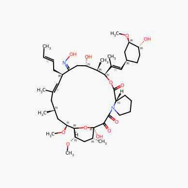 C/C=C/C[C@@H]1/C=C(\C)C[C@H](C)C[C@H](OC)[C@H]2O[C@@](O)(C(=O)C(=O)N3CCCC[C@H]3C(=O)O[C@H](/C(C)=C/[C@@H]3CC[C@@H](O)[C@H](OC)C3)[C@H](C)[C@@H](O)CC1=NO)[C@H](C)C[C@@H]2OC